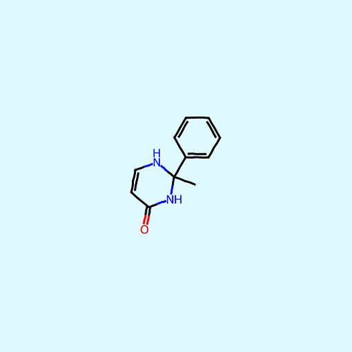 CC1(c2ccccc2)NC=CC(=O)N1